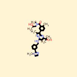 Cc1ccc(-c2c(C)nn3c(NCc4cccc(-c5nccn5C)c4)cc(C(C)(C)O)nc23)cc1C(=O)N(C)C[C@H](C)O